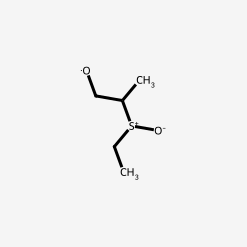 CC[S+]([O-])C(C)C[O]